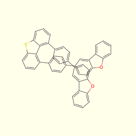 c1ccc2c(c1)oc1ccc(-c3ccc(-c4cccc5sc6cccc(-c7ccc(-c8ccc9oc%10ccccc%10c9c8)cc7)c6c45)cc3)cc12